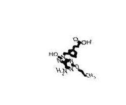 CCCCOc1nc(N)c2nc(O)n(Cc3cccc(CCC(=O)O)c3)c2n1